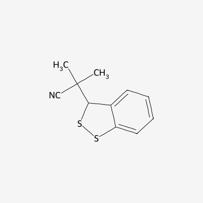 CC(C)(C#N)C1SSc2ccccc21